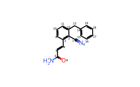 N#Cc1c(C=CC(N)=O)cccc1Cc1ccccc1